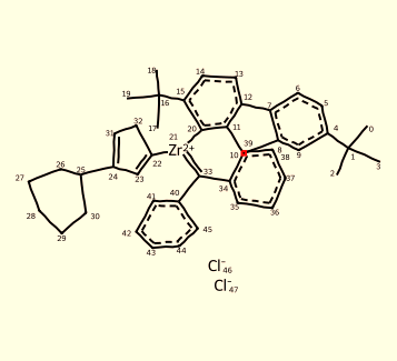 CC(C)(C)c1ccc2c(c1)Cc1c-2ccc(C(C)(C)C)[c]1[Zr+2]([C]1=CC(C2CCCCC2)=CC1)=[C](c1ccccc1)c1ccccc1.[Cl-].[Cl-]